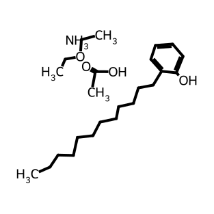 CC(=O)O.CCCCCCCCCCCCc1ccccc1O.CCOCC.N